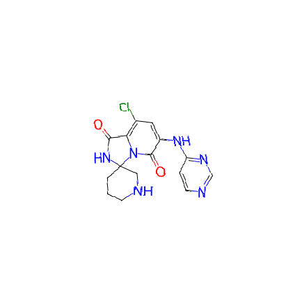 O=C1NC2(CCCNC2)n2c1c(Cl)cc(Nc1ccncn1)c2=O